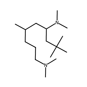 CC(CCCN(C)C)CC(CC(C)(C)C)N(C)C